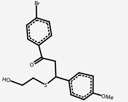 COc1ccc(C(CC(=O)c2ccc(Br)cc2)SCCO)cc1